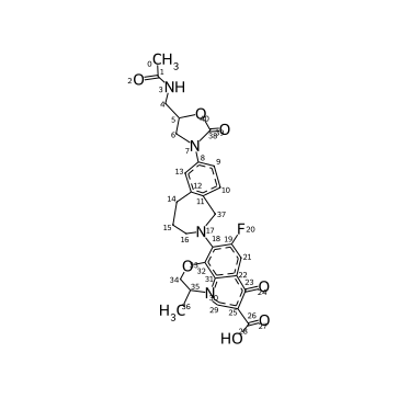 CC(=O)NCC1CN(c2ccc3c(c2)CCCN(c2c(F)cc4c(=O)c(C(=O)O)cn5c4c2OCC5C)C3)C(=O)O1